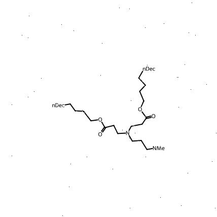 CCCCCCCCCCCCCCOC(=O)CCN(CCCNC)CCC(=O)OCCCCCCCCCCCCCC